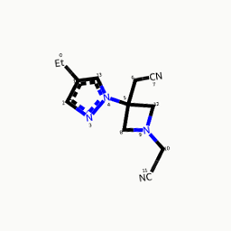 CCc1cnn(C2(CC#N)CN(CC#N)C2)c1